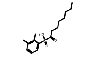 CCCCCCCC(=O)P(=O)(O)c1cccc(C)c1C